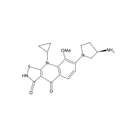 COc1c(N2CC[C@@H](N)C2)ccc2c(=O)c3c(=O)[nH]sc3n(C3CC3)c12